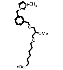 CCCCCCCCCCCCCCCCOCC(COCc1cccc(CN2C=CN(C)C2)c1)OC